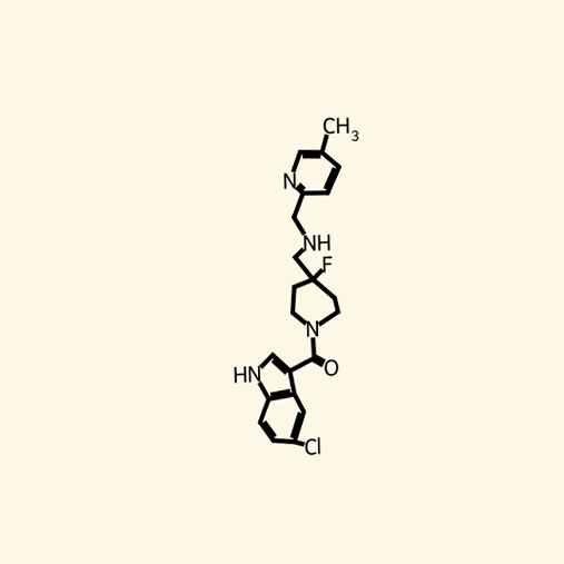 Cc1ccc(CNCC2(F)CCN(C(=O)c3c[nH]c4ccc(Cl)cc34)CC2)nc1